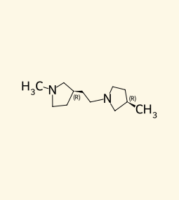 C[C@@H]1CCN(CC[C@H]2CCN(C)C2)C1